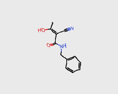 C/C(O)=C(\C#N)C(=O)NCc1ccccc1